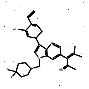 C=CC1=CCC(c2cn(CC3CCC(F)(F)CC3)c3cc(C(C(C)=N)=C(C)C)cnc23)C=C1CCC